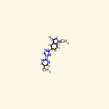 Cc1cnc(-n2cnc(-c3ccc4c(c3)c(I)cn4C)n2)nc1